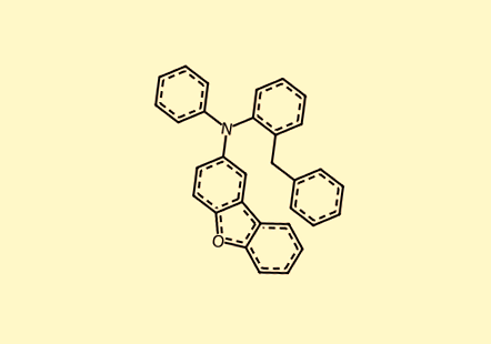 c1ccc(Cc2ccccc2N(c2ccccc2)c2ccc3oc4ccccc4c3c2)cc1